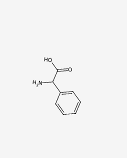 N[C](C(=O)O)c1ccccc1